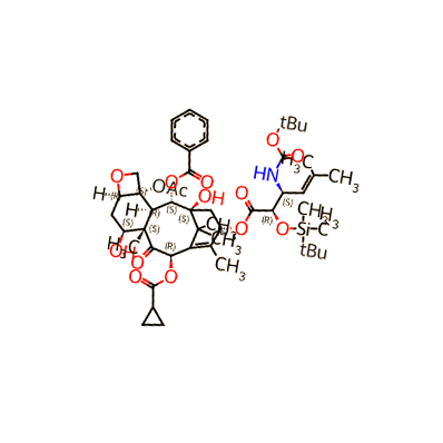 CC(=O)O[C@@]12CO[C@@H]1C[C@H](O)[C@@]1(C)C(=O)[C@H](OC(=O)C3CC3)C3=C(C)[C@@H](OC(=O)[C@H](O[Si](C)(C)C(C)(C)C)[C@H](C=C(C)C)NC(=O)OC(C)(C)C)C[C@@](O)([C@@H](OC(=O)c4ccccc4)[C@H]21)C3(C)C